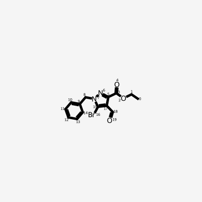 CCOC(=O)c1nn(Cc2ccccc2)c(Br)c1C=O